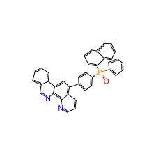 O=P(c1ccccc1)(c1ccc(-c2cc3c4ccccc4cnc3c3ncccc23)cc1)c1cccc2ccccc12